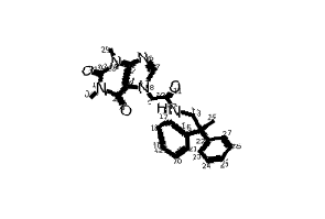 Cn1c(=O)c2c(ncn2CC(=O)NCC(C)(c2ccccc2)c2ccccc2)n(C)c1=O